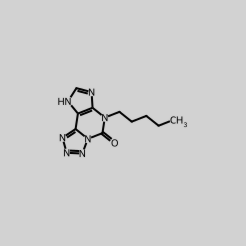 CCCCCn1c(=O)n2nnnc2c2[nH]cnc21